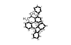 CC(C)c1c(-c2ccccc2)cccc1-c1ccccc1-n1c2ccccc2c2ccccc21